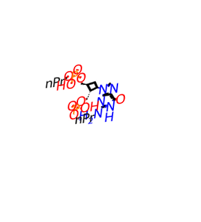 CCCOP(=O)(O)OC[C@H]1C[C@@H](n2cnc3c(=O)[nH]c(N)nc32)[C@@H]1COP(=O)(O)OCCC